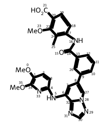 COc1ccc(Nc2cc(-c3cccc(C(=O)Nc4ccc(C(=O)O)c(OC)c4C)c3)cn3ncnc23)nc1OC